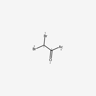 CC(=O)C(=O)C(Br)Br